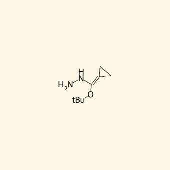 CC(C)(C)OC(NN)=C1CC1